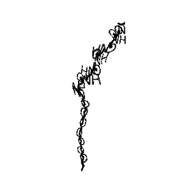 CCCOCCOCCOCCOCCOCCOCCOCCn1cc(COC(=O)NCCNC(=O)CNC(=O)CNC(=O)CNC(=O)CON=C(C)C)nn1